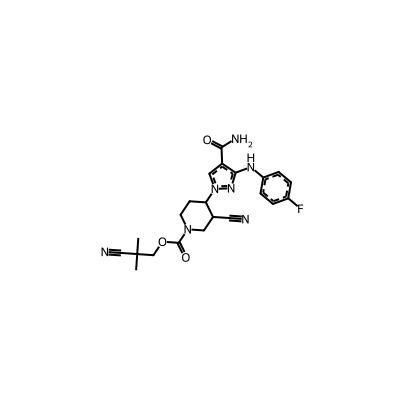 CC(C)(C#N)COC(=O)N1CCC(n2cc(C(N)=O)c(Nc3ccc(F)cc3)n2)C(C#N)C1